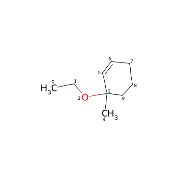 CCOC1(C)C=CCCC1